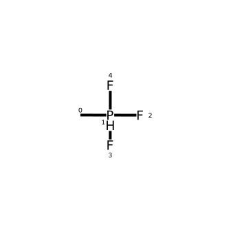 C[PH](F)(F)F